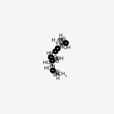 CNS(=O)(=O)c1ccc(O)c(/N=N/c2cc(S(=O)(=O)O)c3cc(Nc4ccc5cc(/N=N/c6c(O)cccc6S(=O)(=O)NC)c(O)cc5c4)ccc3c2O)c1